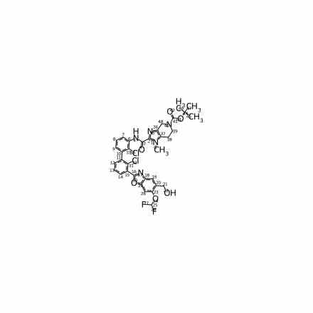 Cn1c(C(=O)Nc2cccc(-c3cccc(-c4nc5cc(CO)c(OC(F)F)cc5o4)c3Cl)c2Cl)nc2c1CCN(C(=O)OC(C)(C)C)C2